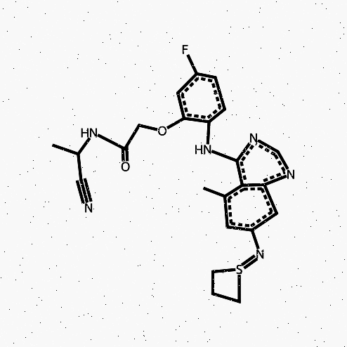 Cc1cc(N=S2CCC2)cc2ncnc(Nc3ccc(F)cc3OCC(=O)NC(C)C#N)c12